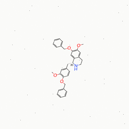 COc1cc(C[C@H]2NCCc3cc(OC)c(OCc4ccccc4)cc32)ccc1OCc1ccccc1